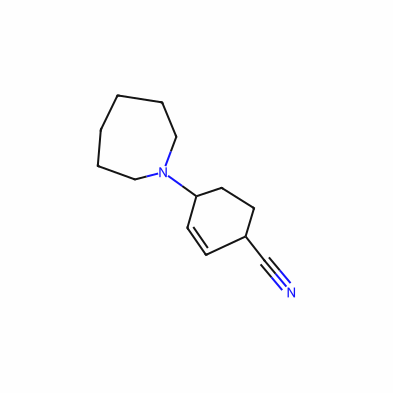 N#CC1C=CC(N2CCCCCC2)CC1